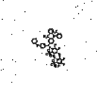 Cc1ccccc1[S+](c1ccc(Cc2ccc([I+]c3ccccc3)cc2)cc1)c1ccccc1C.O=S(=O)([O-])c1c(F)c(F)c(F)c(F)c1F.O=S(=O)([O-])c1c(F)c(F)c(F)c(F)c1F